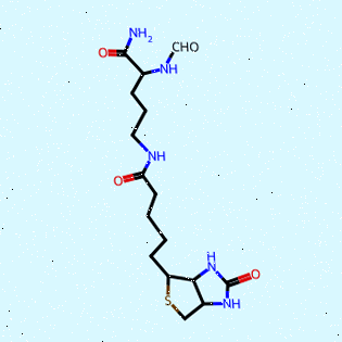 NC(=O)C(CCCNC(=O)CCCCC1SCC2NC(=O)NC21)NC=O